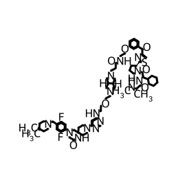 CN[C@@H](C)C(=O)N[C@H](C(=O)N1CCC[C@H]1c1nc(C(=O)c2cccc(OCCNC(=O)CCN3C[C@H]4CN(CCOCCNc5cc(N6CCC7(CC6)CN(c6cc(F)c(CN8CCC(C)(C)CC8)cc6F)CC(=O)N7)ncn5)C[C@H]4C3)c2)cs1)C1CCCCC1